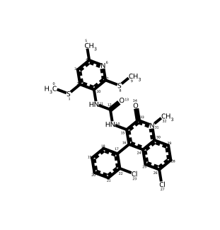 CSc1cc(C)nc(SC)c1NC(=O)Nc1c(-c2ccccc2Cl)c2cc(Cl)ccc2n(C)c1=O